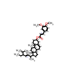 CCC(/C=C/C(C)C1CCC2C3CC=C4CC(OC(=O)/C=C/c5ccc(OC)c(OC)c5)CCC4(C)C3CCC12C)C(C)C